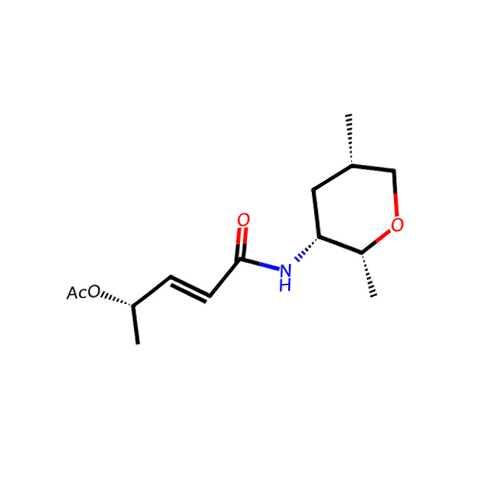 CC(=O)O[C@@H](C)C=CC(=O)N[C@@H]1C[C@H](C)CO[C@@H]1C